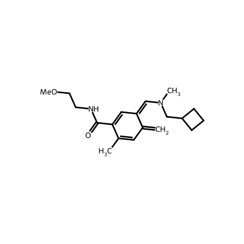 C=c1cc(C)c(C(=O)NCCOC)c/c1=C/N(C)CC1CCC1